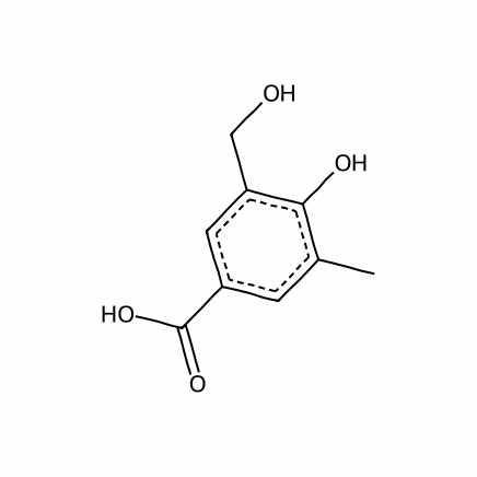 Cc1cc(C(=O)O)cc(CO)c1O